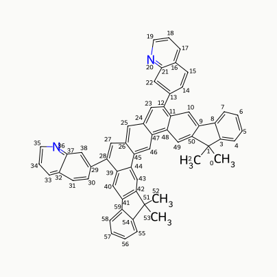 CC1(C)c2ccccc2-c2cc3c(-c4ccc5cccnc5c4)cc4cc5cc(-c6ccc7cccnc7c6)c6cc7c(cc6c5cc4c3cc21)C(C)(C)c1ccccc1-7